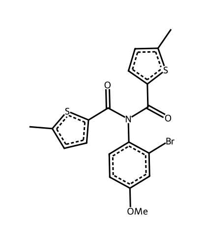 COc1ccc(N(C(=O)c2ccc(C)s2)C(=O)c2ccc(C)s2)c(Br)c1